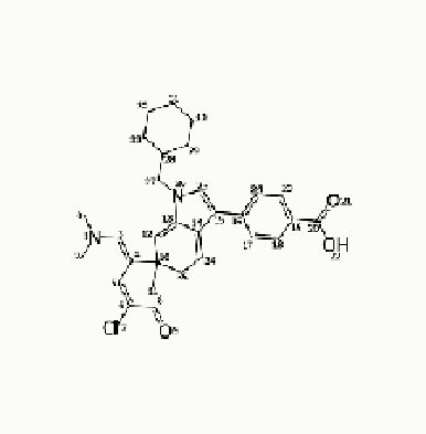 CN(C)/C=C(\C=C(\Cl)C=O)C1(C)C=c2c(c(-c3ccc(C(=O)O)cc3)cn2CC2CCCCC2)=CC1